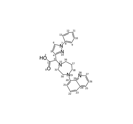 O=C(O)C(c1ccn(-c2ccccc2)n1)N1CCCN(c2cccc3cccnc23)CC1